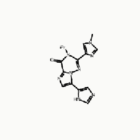 CC(C)n1c(-c2cn(C)cn2)nn2c(-c3cnc[nH]3)cnc2c1=O